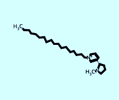 CCCCCCCCCCCCCCCCCC[n+]1cccc([C@@H]2CCCN2C)c1